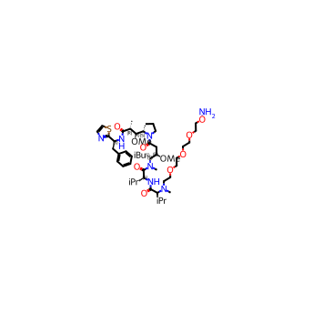 CC[C@H](C)[C@@H]([C@@H](CC(=O)N1CCC[C@H]1[C@H](OC)[C@@H](C)C(=O)N[C@@H](Cc1ccccc1)c1nccs1)OC)N(C)C(=O)[C@@H](NC(=O)C(C(C)C)N(C)CCOCCOCCOCCON)C(C)C